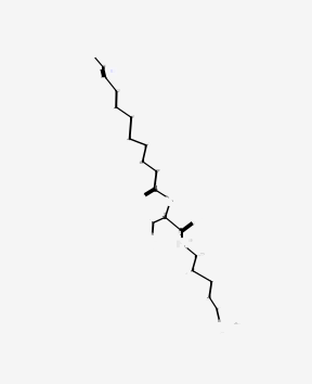 CCCCCCCC/C=C/CCCCCCCC(=O)NC(CS)C(=O)NCCCCCCCCCCCCCCC